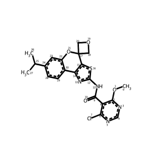 COc1ncnc(Cl)c1C(=O)Nc1nc2c(s1)C1(COC1)Oc1cc(C(C)C)ccc1-2